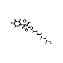 C=C(C(=O)OCCCCCCCC)S(=O)(=O)c1ccccc1